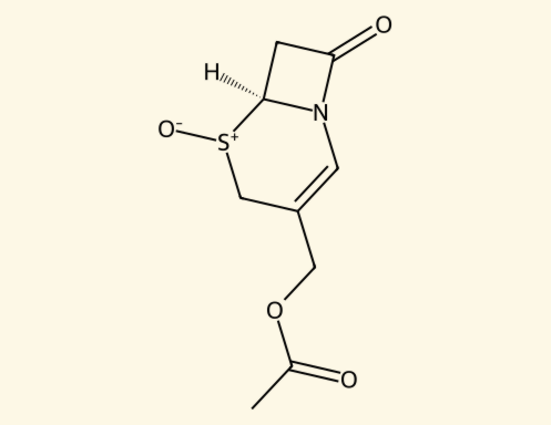 CC(=O)OCC1=CN2C(=O)C[C@@H]2[S+]([O-])C1